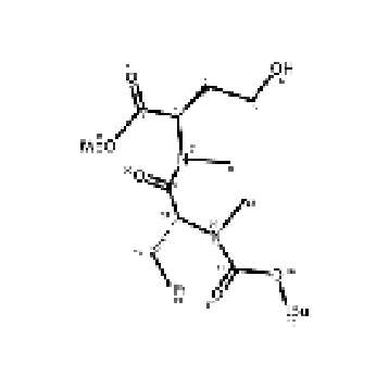 COC(=O)[C@@H](CCO)N(C)C(=O)[C@@H](CC(C)C)N(C)C(=O)OC(C)(C)C